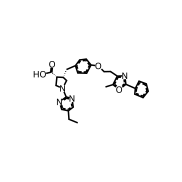 CCc1cnc(N2C[C@@H](Cc3ccc(OCCc4nc(-c5ccccc5)oc4C)cc3)[C@@H](C(=O)O)C2)nc1